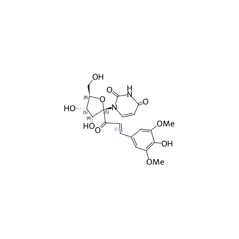 COc1cc(/C=C/C(=O)[C@@]2(n3ccc(=O)[nH]c3=O)O[C@H](CO)[C@@H](O)[C@H]2O)cc(OC)c1O